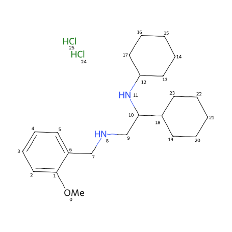 COc1ccccc1CNCC(NC1CCCCC1)C1CCCCC1.Cl.Cl